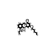 CCCCCOc1ccn(Cc2cccc(NCC)c2C)c(=O)c1